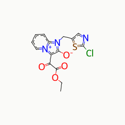 CCOC(=O)C(=O)c1c([O-])n(Cc2cnc(Cl)s2)c2cccc[n+]12